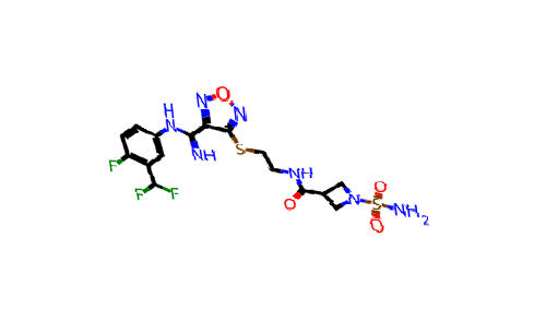 N=C(Nc1ccc(F)c(C(F)F)c1)c1nonc1SCCNC(=O)C1CN(S(N)(=O)=O)C1